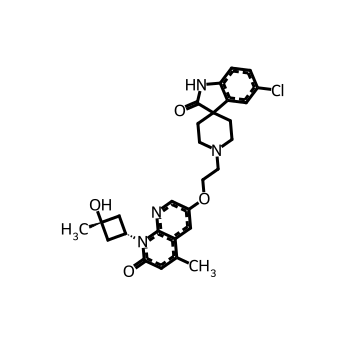 Cc1cc(=O)n([C@H]2C[C@@](C)(O)C2)c2ncc(OCCN3CCC4(CC3)C(=O)Nc3ccc(Cl)cc34)cc12